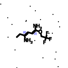 CC/C(N)=C/C=C(\N)OCC(F)(F)F